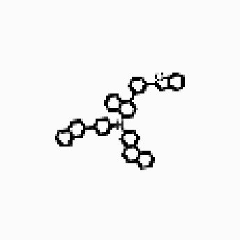 c1cc(-c2cc3ccccc3o2)cc(-c2ccc(N(c3ccc(-c4ccc5ccccc5c4)cc3)c3ccc4c(ccc5ccccc54)c3)c3ccccc23)c1